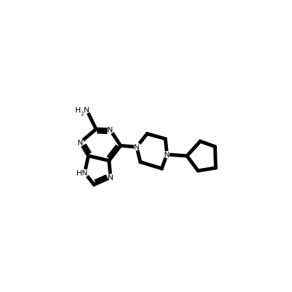 Nc1nc(N2CCN(C3CCCC3)CC2)c2nc[nH]c2n1